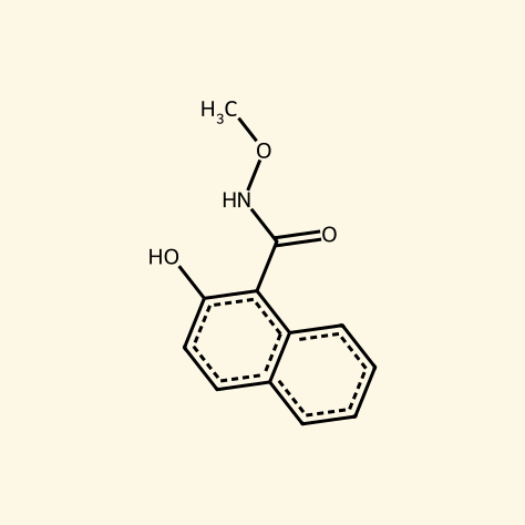 CONC(=O)c1c(O)ccc2ccccc12